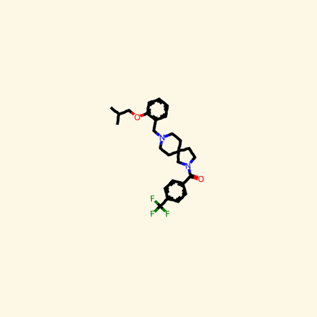 CC(C)COc1ccccc1CN1CCC2(CC1)CCN(C(=O)c1ccc(C(F)(F)F)cc1)C2